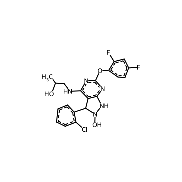 CC(O)CNc1nc(Oc2ccc(F)cc2F)nc2c1C(c1ccccc1Cl)N(O)N2